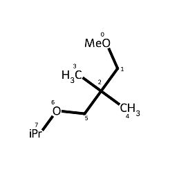 COCC(C)(C)COC(C)C